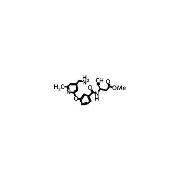 C#C[C@@H](CC(=O)OC)NC(=O)c1cccc(Oc2cc(CN)cc(C)n2)c1